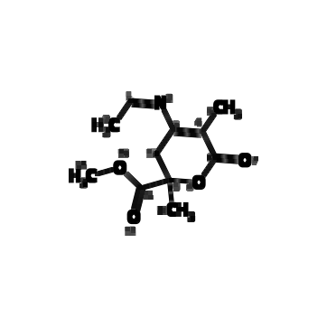 C/C=N\C1=C(C)C(=O)OC(C)(C(=O)OC)C1